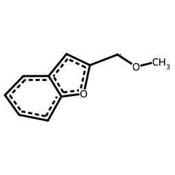 CO[CH]c1cc2ccccc2o1